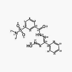 CN(C)S(=O)(=O)c1cccc(C(=O)NN=C(C=NO)c2ccccc2)c1